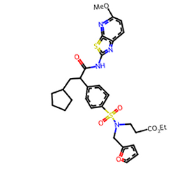 CCOC(=O)CCN(Cc1ccco1)S(=O)(=O)c1ccc(C(CC2CCCC2)C(=O)Nc2nc3ccc(OC)nc3s2)cc1